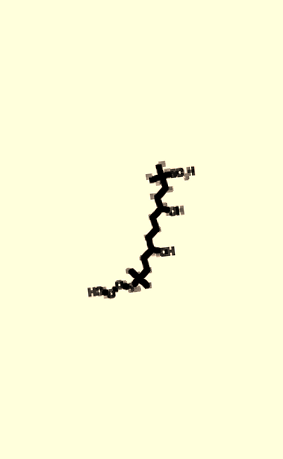 CC(C)(CCC(O)CCCC(O)CCC(C)(C)S(=O)(=O)O)SOOO